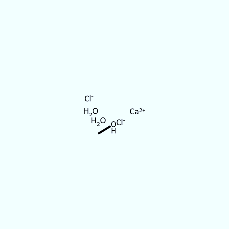 CO.O.O.[Ca+2].[Cl-].[Cl-]